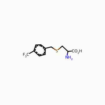 NC(CSCc1ccc(C(F)(F)F)cc1)C(=O)O